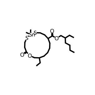 CCCCC(CC)COC(=O)C1CCCCC(CC)COC(=O)CC[S][Sn]([CH3])([CH3])[S]CC1